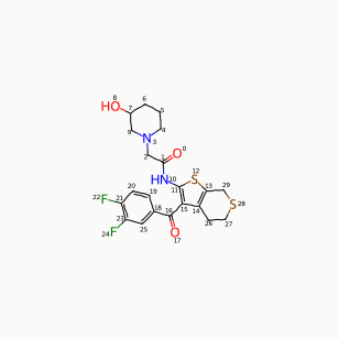 O=C(CN1CCCC(O)C1)Nc1sc2c(c1C(=O)c1ccc(F)c(F)c1)CCSC2